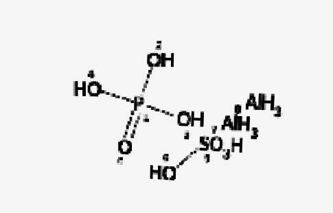 O=P(O)(O)O.O=S(=O)(O)O.[AlH3].[AlH3]